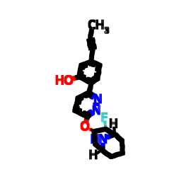 CC#Cc1ccc(-c2ccc(O[C@H]3C[C@@H]4CCC[C@@H](N4)[C@H]3F)nn2)c(O)c1